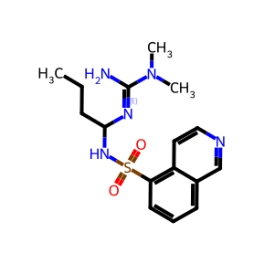 CCCC(/N=C(\N)N(C)C)NS(=O)(=O)c1cccc2cnccc12